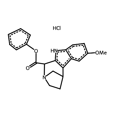 COc1ccc2[nH]c3c(c2c1)C1CCN(C1)C3C(=O)Oc1ccccc1.Cl